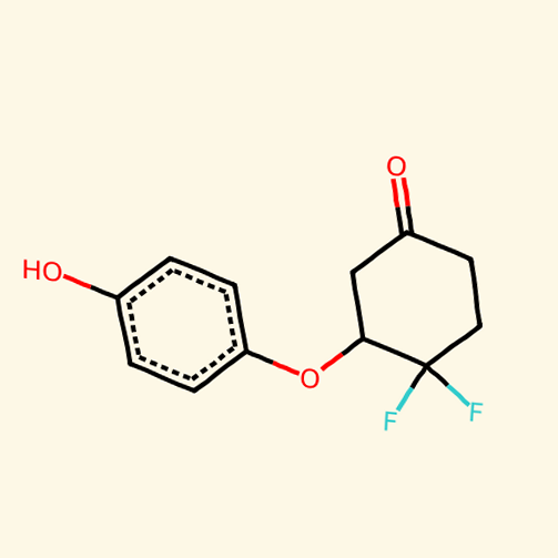 O=C1CCC(F)(F)C(Oc2ccc(O)cc2)C1